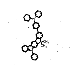 CC1(C)c2ccc(-c3ccc(N(C4=CCCC=C4)c4ccccc4)cc3)cc2-c2cc3c4ccccc4n(-c4ccccc4)c3cc21